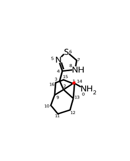 NCC1(CC2=NSCN2)C2CCCC1CCC2